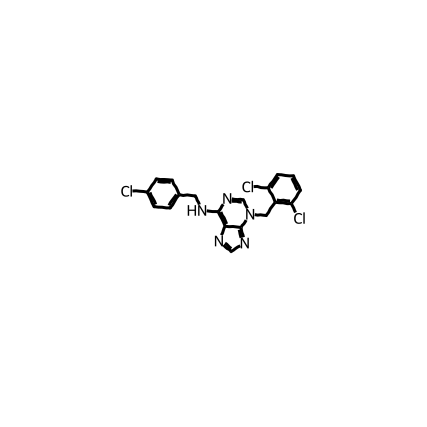 Clc1ccc(CNc2ncn(Cc3c(Cl)cccc3Cl)c3ncnc2-3)cc1